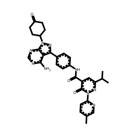 Cc1ccc(-n2nc(C(C)C)cc(C(=O)Nc3ccc(-c4nn(C5CCC(=O)CC5)c5ncnc(N)c45)cc3)c2=O)nc1